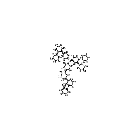 c1ccc(-c2ccccc2-c2ccc(C(c3ccc(-c4cccc(-c5cccc6c5oc5ccccc56)c4)cc3)c3ccc(-c4ccccc4-c4ccccc4)cc3)cc2)cc1